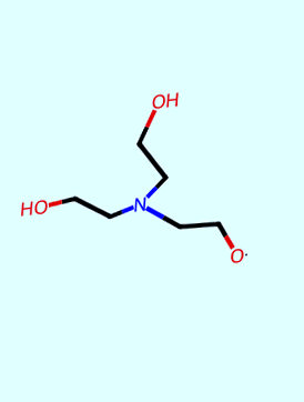 [O]CCN(CCO)CCO